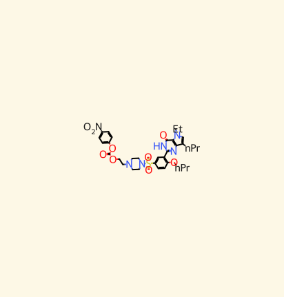 CCCOc1ccc(S(=O)(=O)N2CCN(CCOC(=O)Oc3ccc([N+](=O)[O-])cc3)CC2)cc1-c1nc2c(CCC)cn(CC)c2c(=O)[nH]1